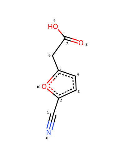 N#Cc1ccc(CC(=O)O)o1